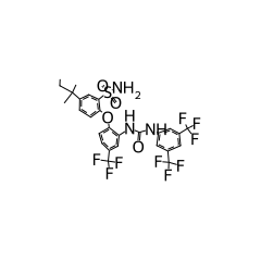 CCC(C)(C)c1ccc(Oc2ccc(C(F)(F)F)cc2NC(=O)Nc2cc(C(F)(F)F)cc(C(F)(F)F)c2)c(S(N)(=O)=O)c1